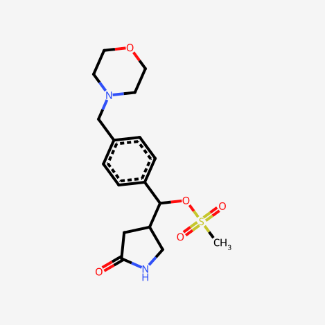 CS(=O)(=O)OC(c1ccc(CN2CCOCC2)cc1)C1CNC(=O)C1